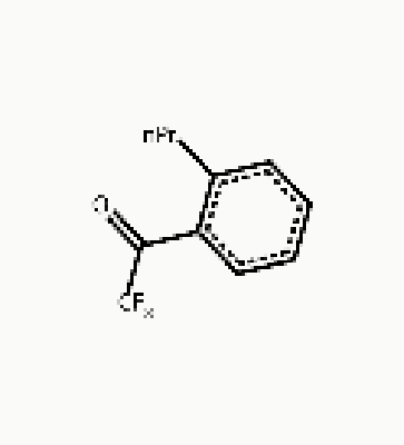 CCCc1ccccc1C(=O)C(F)(F)F